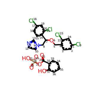 Clc1ccc(COC(Cn2ccnc2)c2ccc(Cl)cc2Cl)c(Cl)c1.O=C(OS(=O)(=O)O)c1ccccc1O